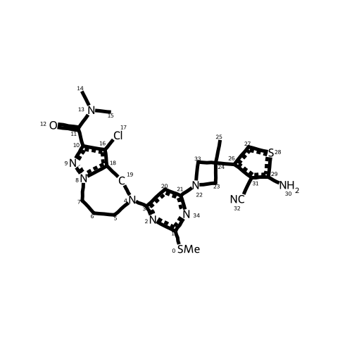 CSc1nc(N2CCCn3nc(C(=O)N(C)C)c(Cl)c3C2)cc(N2CC(C)(c3csc(N)c3C#N)C2)n1